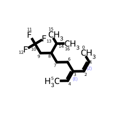 C/C=C\C(=C\C)CCC(CC(F)(F)F)C(C)C